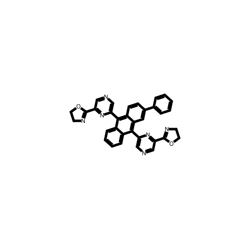 c1ccc(-c2ccc3c(-c4cncc(C5=NCCO5)n4)c4ccccc4c(-c4cncc(C5=NCCO5)n4)c3c2)cc1